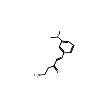 CN(C)c1cccc(C=CC(=O)CCN)c1